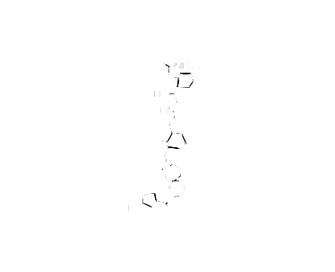 CCc1cc(C(=O)N2CCOC3(CCN(Cc4cccc(CCNCC(O)c5ccc(O)c6[nH]c(=O)sc56)c4F)CC3)C2)cs1